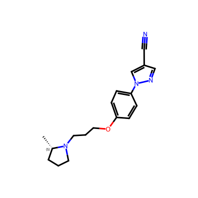 C[C@H]1CCCN1CCCOc1ccc(-n2cc(C#N)cn2)cc1